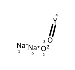 [Na+].[Na+].[O-2].[O]=[Y]